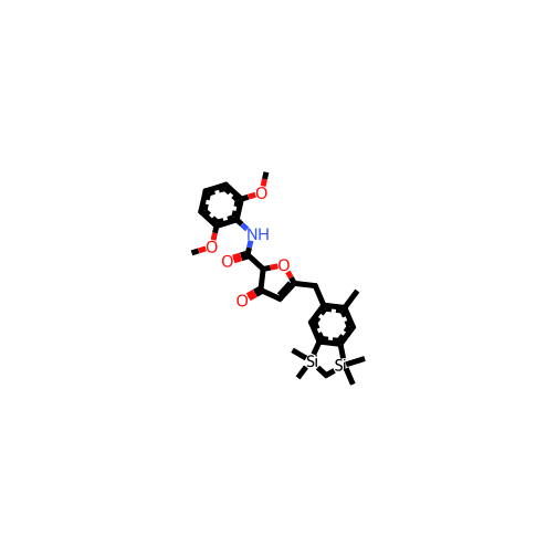 COc1cccc(OC)c1NC(=O)C1OC(Cc2cc3c(cc2C)[Si](C)(C)C[Si]3(C)C)=CC1=O